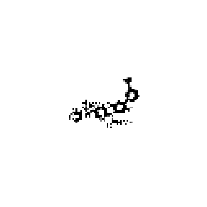 CNC(=O)N(c1ccc(S(=O)(=O)Nc2ccon2)cn1)c1cc(F)c(-c2cccc(C3CC3)c2)cc1OC